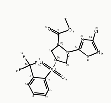 COC(=O)[C@@H]1C[C@@H](S(=O)(=O)c2ccccc2C(F)(F)F)CN1c1nc(Cl)ns1